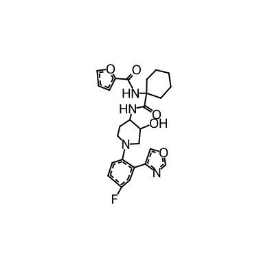 O=C(NC1(C(=O)NC2CCN(c3ccc(F)cc3-c3cocn3)CC2O)CCCCC1)c1ccco1